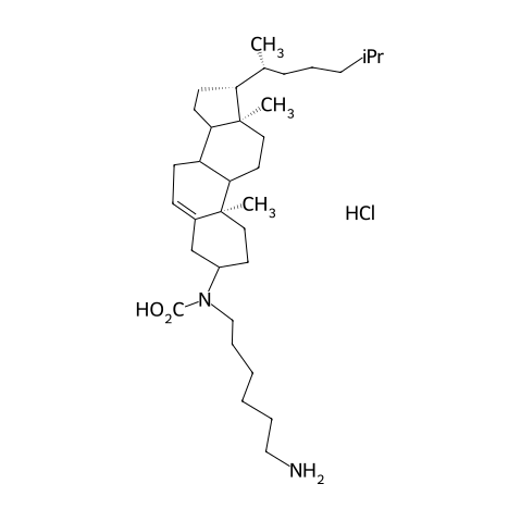 CC(C)CCC[C@@H](C)[C@H]1CCC2C3CC=C4CC(N(CCCCCCN)C(=O)O)CC[C@]4(C)C3CC[C@@]21C.Cl